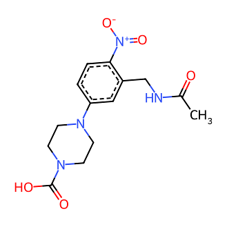 CC(=O)NCc1cc(N2CCN(C(=O)O)CC2)ccc1[N+](=O)[O-]